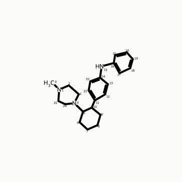 CN1CCN(C2CC[CH]CC2c2ccc(Nc3ccccc3)cc2)CC1